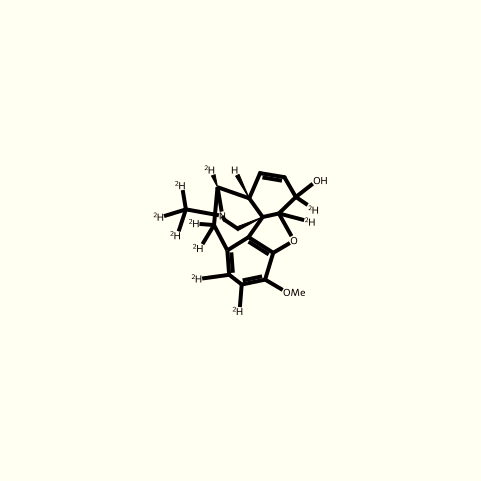 [2H]c1c([2H])c2c3c(c1OC)OC1([2H])C([2H])(O)C=C[C@@H]4[C@@]31CCN(C([2H])([2H])[2H])[C@]4([2H])C2([2H])[2H]